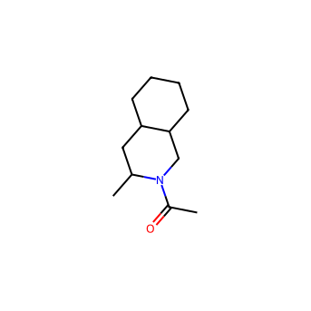 CC(=O)N1CC2CCCCC2CC1C